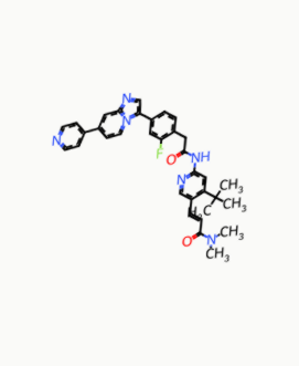 CN(C)C(=O)/C=C/c1cnc(NC(=O)Cc2ccc(-c3cnc4cc(-c5ccncc5)ccn34)cc2F)cc1C(C)(C)C